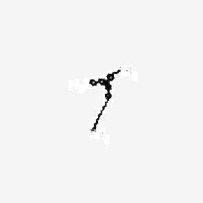 CCCCc1ccc(-n2c3ccc(-c4ccc(C)cc4)cc3c3cc(-c4ccc(OCCCCCCCCCCCCOC)cc4)ccc32)cc1